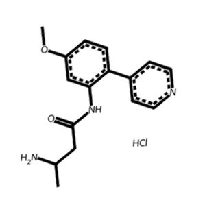 COc1ccc(-c2ccncc2)c(NC(=O)CC(C)N)c1.Cl